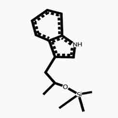 CC(Cc1c[nH]c2ccccc12)O[Si](C)(C)C